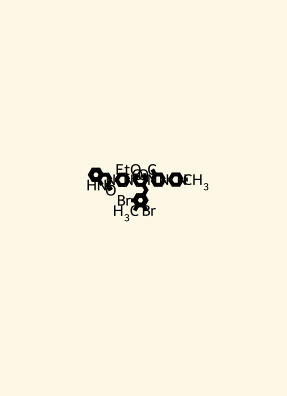 CCOC(=O)C1CN(C2CCN(C)CC2)CCN1C(=O)C(CC(=O)N1CCC(N2Cc3ccccc3NC2=O)CC1)Cc1cc(Br)c(C)c(Br)c1